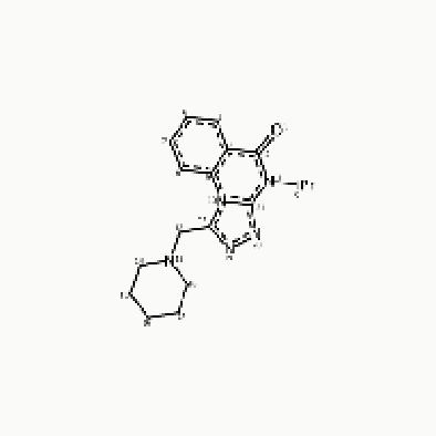 CC(C)n1c(=O)c2ccccc2n2c(CN3CCCCC3)nnc12